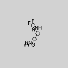 CC(C)NC(=O)c1ccc(-c2cccc(-c3nc4cc(F)c(F)cc4[nH]3)c2)cc1